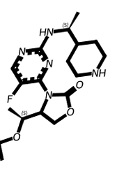 C[C@H](Nc1ncc(F)c(N2C(=O)OCC2[C@H](C)OC(C)(C)C)n1)C1CCNCC1